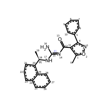 Cc1onc(-c2ccccc2)c1C(=O)/N=C(\N)N[C@H](C)c1cccc2ccccc12